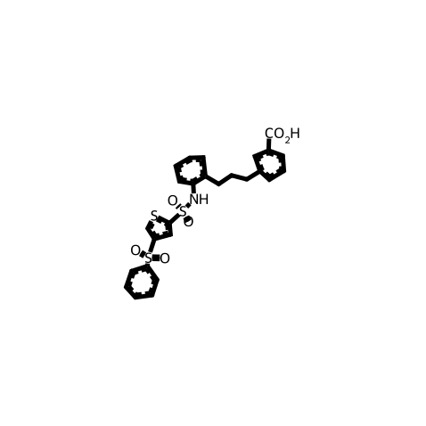 O=C(O)c1cccc(CCCc2ccccc2NS(=O)(=O)c2cc(S(=O)(=O)c3ccccc3)cs2)c1